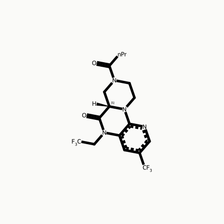 CCCC(=O)N1CCN2c3ncc(C(F)(F)F)cc3N(CC(F)(F)F)C(=O)[C@@H]2C1